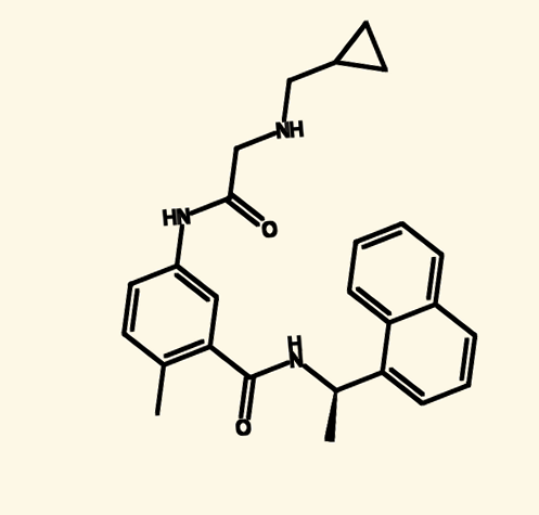 Cc1ccc(NC(=O)CNCC2CC2)cc1C(=O)N[C@H](C)c1cccc2ccccc12